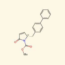 CC(C)(C)OC(=O)N1C(=O)C=C[C@@H]1Cc1ccc(-c2ccccc2)cc1